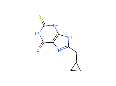 O=c1[nH]c(=S)[nH]c2[nH]c(CC3CC3)nc12